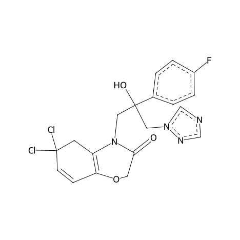 O=C1COC2=C(CC(Cl)(Cl)C=C2)N1CC(O)(Cn1cncn1)c1ccc(F)cc1